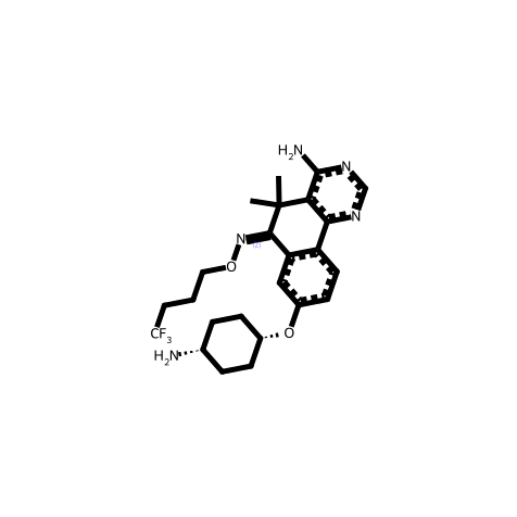 CC1(C)/C(=N/OCCCC(F)(F)F)c2cc(O[C@H]3CC[C@@H](N)CC3)ccc2-c2ncnc(N)c21